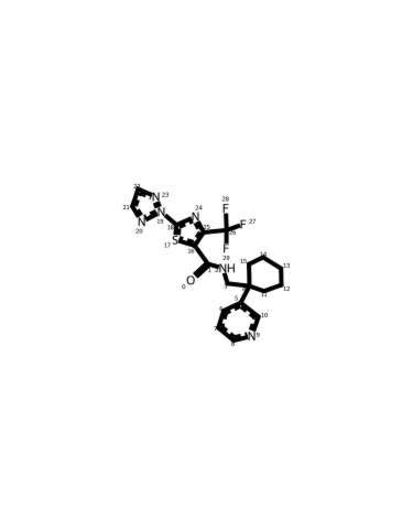 O=C(NCC1(c2cccnc2)CCCCC1)c1sc(-n2nccn2)nc1C(F)(F)F